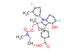 CCN(C)C(=O)OCC(C)(C)c1c(-c2ccc(C(=O)O)cc2)c2c(O)c(F)ccc2n1-c1ccc(F)c(C)c1